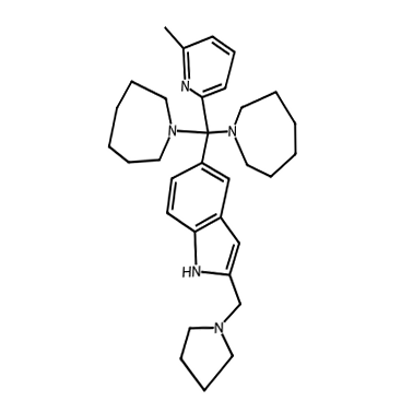 Cc1cccc(C(c2ccc3[nH]c(CN4CCCC4)cc3c2)(N2CCCCCC2)N2CCCCCC2)n1